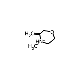 C=C1COCC[NH+]1[CH2-]